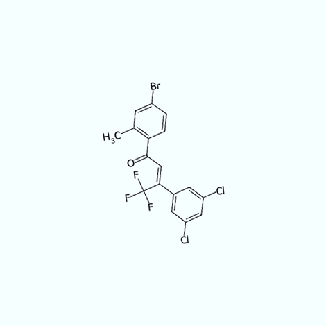 Cc1cc(Br)ccc1C(=O)C=C(c1cc(Cl)cc(Cl)c1)C(F)(F)F